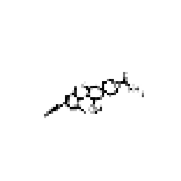 CC#Cc1cc(C)c(C2=C(O)CC3(CCN(C(N)=O)CC3)CC2=O)c(C)c1